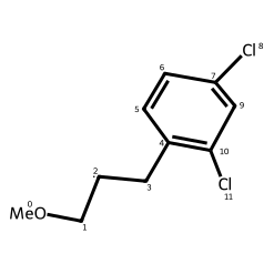 COC[CH]Cc1ccc(Cl)cc1Cl